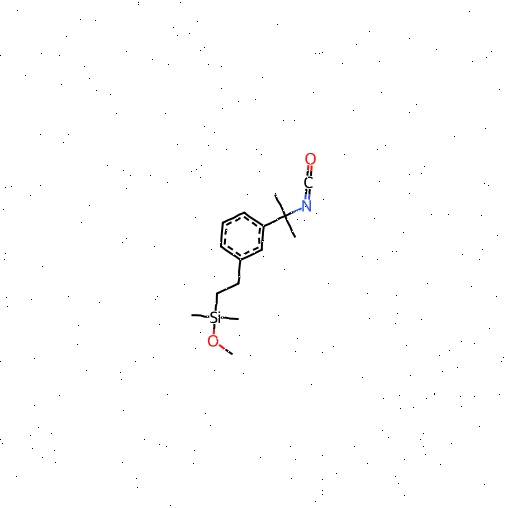 CO[Si](C)(C)CCc1cccc(C(C)(C)N=C=O)c1